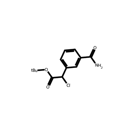 CC(C)(C)OC(=O)C(Cl)c1cccc(C(N)=O)c1